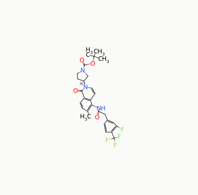 Cc1ccc2c(=O)n([C@H]3CCN(C(=O)OC(C)(C)C)C3)ccc2c1NC(=O)Cc1ccc(C(F)(F)F)c(F)c1